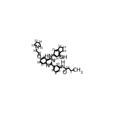 CCCC(=O)Nc1cccc(-c2nc(Nc3cc(O)c4c(c3)CCC4)c3cc(OCCN4CCCC4)ccc3n2)c1